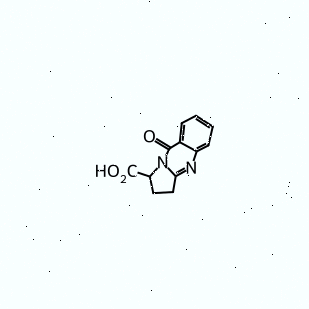 O=C(O)C1CCc2nc3ccccc3c(=O)n21